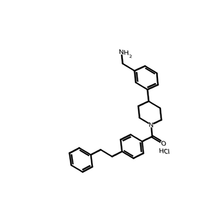 Cl.NCc1cccc(C2CCN(C(=O)c3ccc(CCc4ccccc4)cc3)CC2)c1